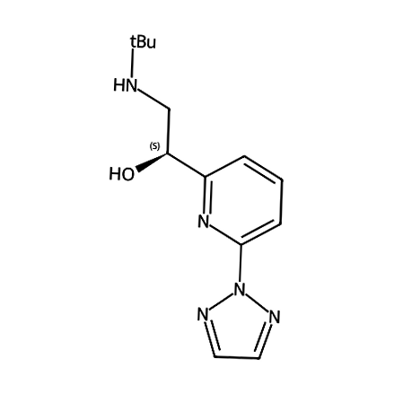 CC(C)(C)NC[C@H](O)c1cccc(-n2nccn2)n1